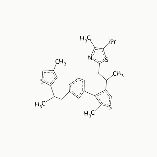 Cc1csc(C(C)Cc2cccc(-c3c(C(C)Cc4nc(C)c(C(C)C)s4)csc3C)c2)c1